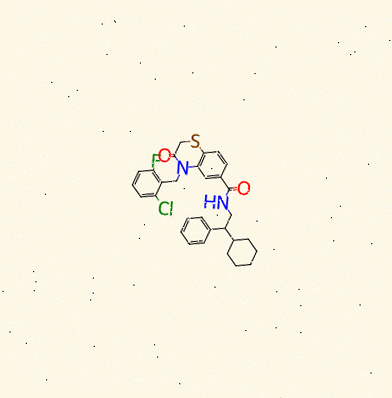 O=C(NCC(c1ccccc1)C1CCCCC1)c1ccc2c(c1)N(Cc1c(F)cccc1Cl)C(=O)CS2